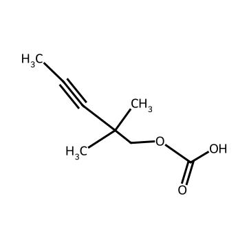 CC#CC(C)(C)COC(=O)O